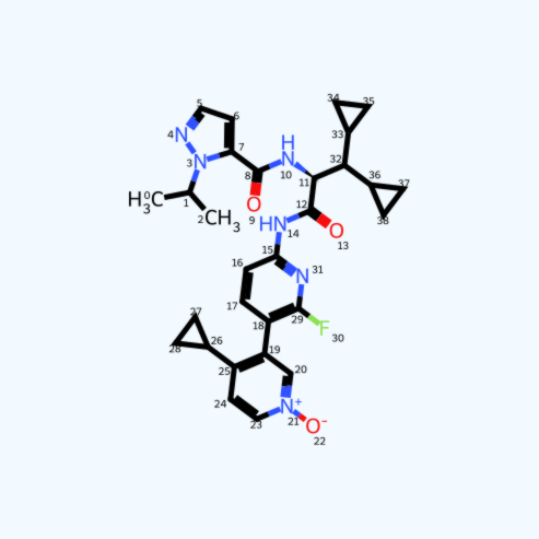 CC(C)n1nccc1C(=O)N[C@H](C(=O)Nc1ccc(-c2c[n+]([O-])ccc2C2CC2)c(F)n1)C(C1CC1)C1CC1